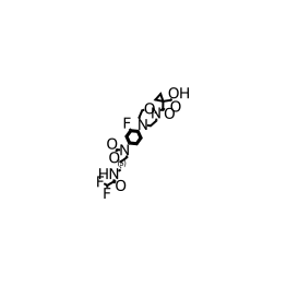 O=C(NC[C@H]1CN(c2ccc(N3CCON(C(=O)C4(C(=O)O)CC4)CC3)c(F)c2)C(=O)O1)C(F)F